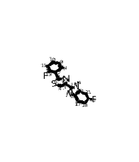 Cn1c(-c2csc(-c3ccccc3F)n2)nc2ccc(F)cc21